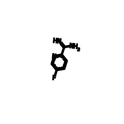 N=C(N)c1ccc(F)cn1